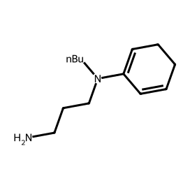 CCCCN(CCCN)C1=CCCC=C1